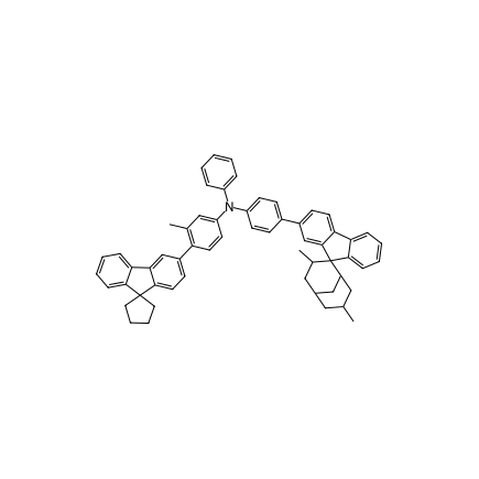 Cc1cc(N(c2ccccc2)c2ccc(-c3ccc4c(c3)C3(c5ccccc5-4)C(C)CC4CC(C)CC3C4)cc2)ccc1-c1ccc2c(c1)-c1ccccc1C21CCCC1